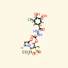 C[C@@H]1CC(=O)N1[C@@H](C(=O)O)[C@](C)(COC(=O)NNC(=O)c1cc(O)c(O)c(Cl)c1)[SH](=O)=O